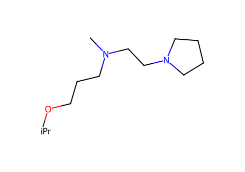 CC(C)OCCCN(C)CCN1CCCC1